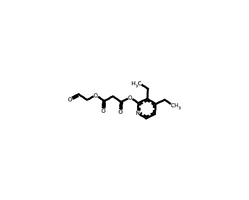 CCc1ccnc(OC(=O)CC(=O)OCC=O)c1CC